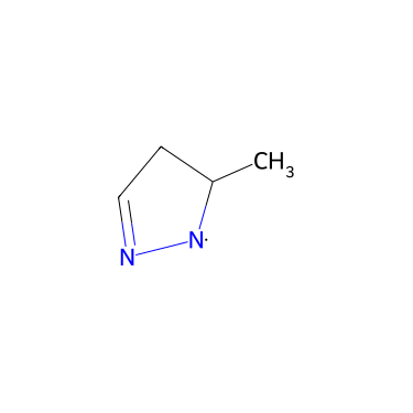 CC1CC=N[N]1